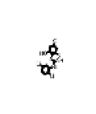 Oc1cc(Cl)cc2c1N=C(Nc1cc(Cl)ccc1Cl)NS2